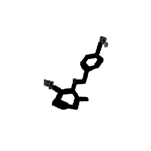 Cc1cccc(C(=O)O)c1OCc1ccc(C(F)(F)F)cc1